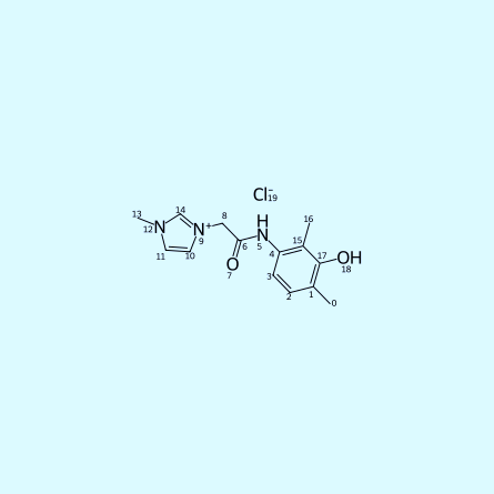 Cc1ccc(NC(=O)C[n+]2ccn(C)c2)c(C)c1O.[Cl-]